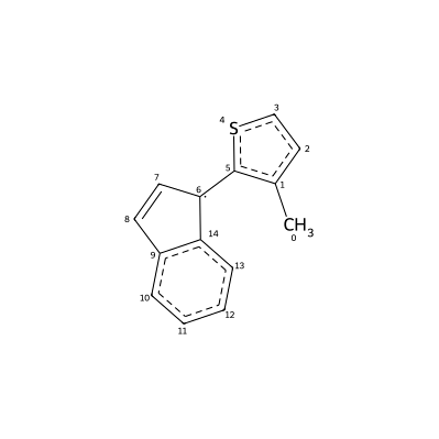 Cc1ccsc1[C]1C=Cc2ccccc21